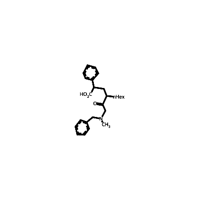 CCCCCCC(CC(C(=O)O)c1ccccc1)C(=O)CN(C)Cc1ccccc1